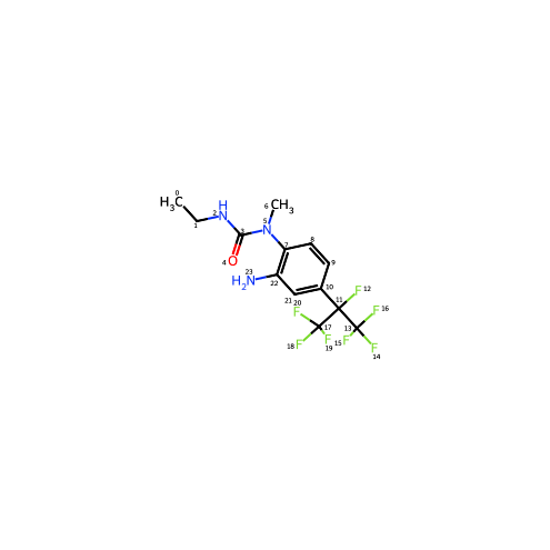 CCNC(=O)N(C)c1ccc(C(F)(C(F)(F)F)C(F)(F)F)cc1N